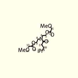 COCC(=O)OCCN(CCOC(=O)COC)C(=O)CCC(C)C